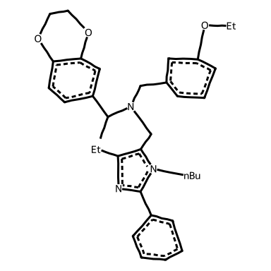 CCCCn1c(-c2ccccc2)nc(CC)c1CN(Cc1cccc(OCC)c1)C(C)c1ccc2c(c1)OCCO2